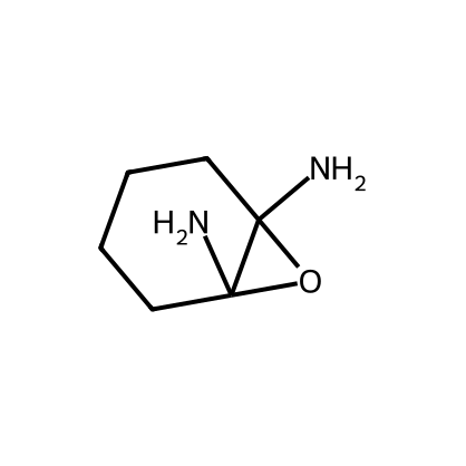 NC12CCCCC1(N)O2